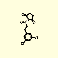 O=C1CCC(=O)N1[S+]([O-])CCc1cc(Cl)cc(Cl)c1